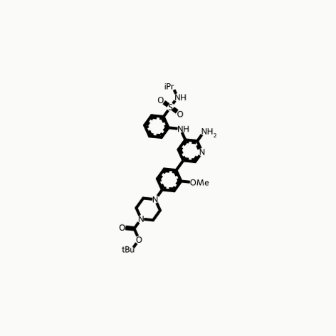 COc1cc(N2CCN(C(=O)OC(C)(C)C)CC2)ccc1-c1cnc(N)c(Nc2ccccc2S(=O)(=O)NC(C)C)c1